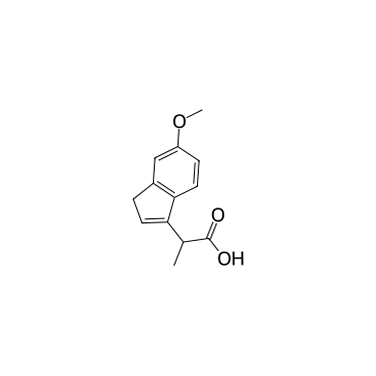 COc1ccc2c(c1)CC=C2C(C)C(=O)O